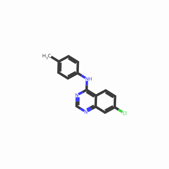 Cc1ccc(Nc2ncnc3cc(Cl)ccc23)cc1